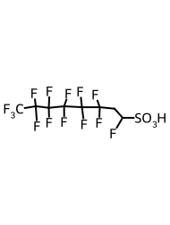 O=S(=O)(O)C(F)CC(F)(F)C(F)(F)C(F)(F)C(F)(F)C(F)(F)C(F)(F)F